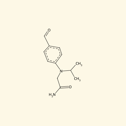 CC(C)N(CC(N)=O)c1ccc(C=O)cc1